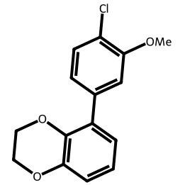 COc1cc(-c2cccc3c2OCCO3)ccc1Cl